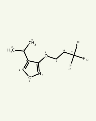 CC(C)c1nonc1OCCC(F)(F)F